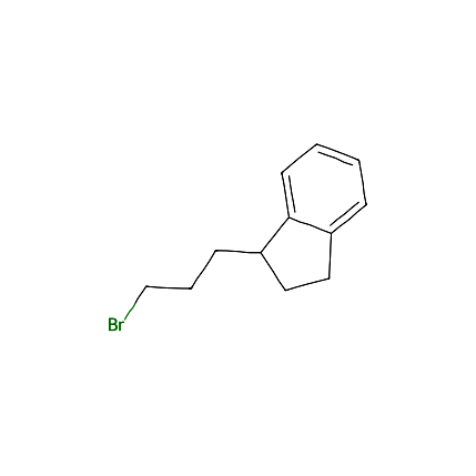 BrCCCC1CCc2ccccc21